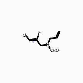 C=CCN([C]=O)C/C(Cl)=C/Cl